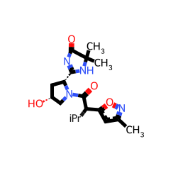 Cc1cc(C(C(=O)N2C[C@H](O)C[C@@H]2C2=NC(=O)C(C)(C)N2)C(C)C)on1